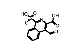 O=Cc1c(C(=O)O)nc(S(=O)(=O)O)c2ccccc12